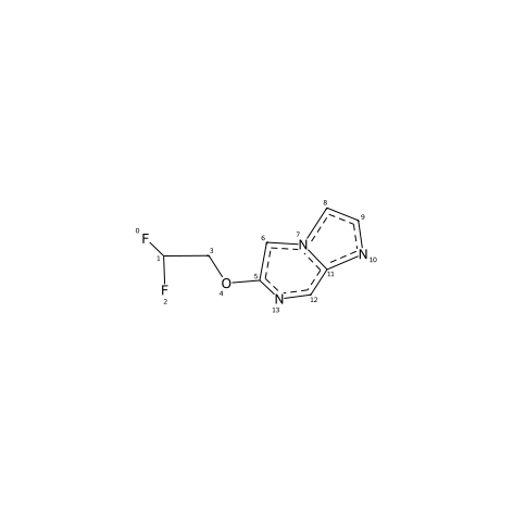 FC(F)COc1cn2ccnc2cn1